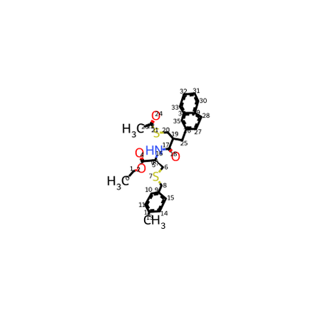 CCOC(=O)[C@H](CSCc1ccc(C)cc1)NC(=O)C(CSC(C)=O)Cc1ccc2ccccc2c1